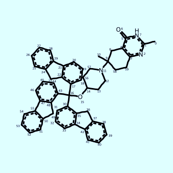 Cc1nc2c(c(=O)[nH]1)CC(C)(N1CCC(OC(c3cccc4c3Cc3ccccc3-4)(c3cccc4c3Cc3ccccc3-4)c3cccc4c3Cc3ccccc3-4)CC1)CC2